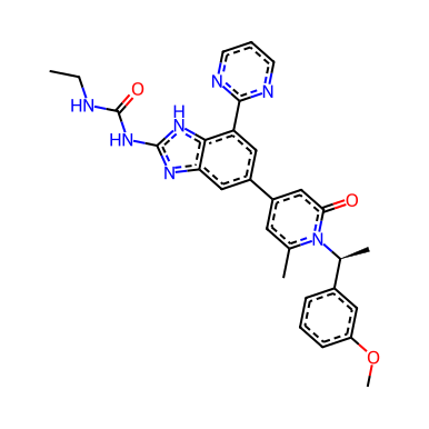 CCNC(=O)Nc1nc2cc(-c3cc(C)n([C@@H](C)c4cccc(OC)c4)c(=O)c3)cc(-c3ncccn3)c2[nH]1